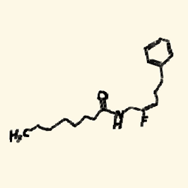 CCCCCCCC(=O)NC/C(F)=C\CCc1ccccc1